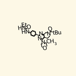 CCNC(=O)Nc1ccc(-c2nc3c(c(N4CCOC[C@@H]4C)n2)CCN(C(=O)C(C)(C)C)C3)cc1